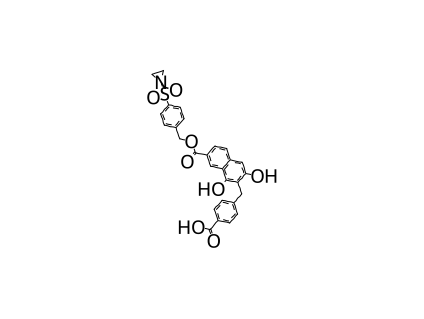 O=C(O)c1ccc(Cc2c(O)cc3ccc(C(=O)OCc4ccc(S(=O)(=O)N5CC5)cc4)cc3c2O)cc1